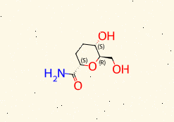 NC(=O)[C@@H]1CC[C@H](O)[C@@H](CO)O1